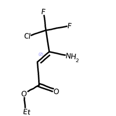 CCOC(=O)/C=C(\N)C(F)(F)Cl